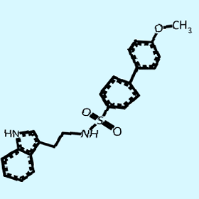 COc1ccc(-c2ccc(S(=O)(=O)NCCc3c[nH]c4ccccc34)cc2)cc1